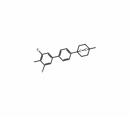 Cc1c(F)cc(-c2ccc(C34CCC(C)(CC3)CC4)cc2)cc1F